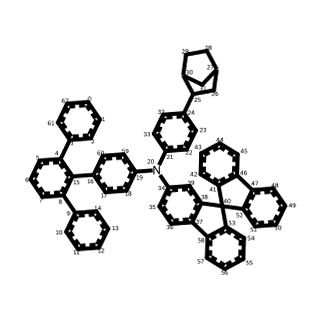 c1ccc(-c2cccc(-c3ccccc3)c2-c2ccc(N(c3ccc(C4CC5CCC4C5)cc3)c3ccc4c(c3)C3(c5ccccc5-c5ccccc53)c3ccccc3-4)cc2)cc1